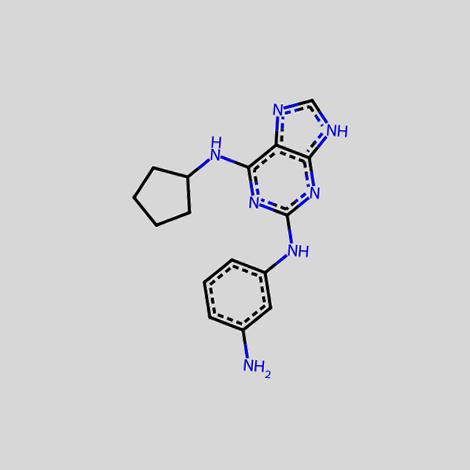 Nc1cccc(Nc2nc(NC3CCCC3)c3nc[nH]c3n2)c1